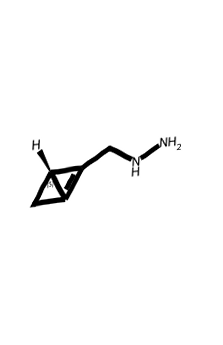 NNCC1=C2C[C@H]12